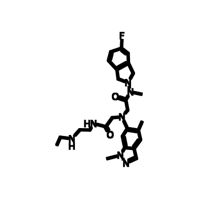 CCNCCNC(=O)CN(CC(=O)N(C)N1Cc2ccc(F)cc2C1)c1cc2c(cnn2C)cc1C